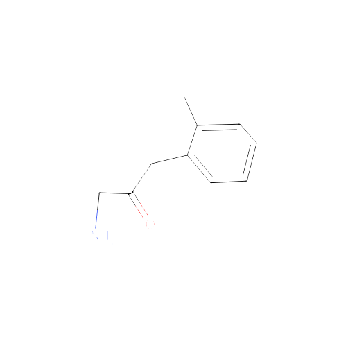 Cc1ccccc1CC(=O)CN